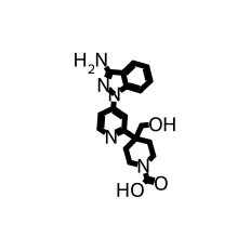 Nc1nn(-c2ccnc(C3(CO)CCN(C(=O)O)CC3)c2)c2ccccc12